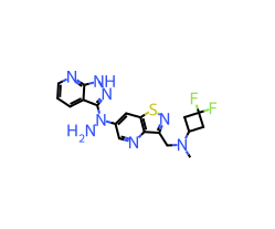 CN(Cc1nsc2cc(N(N)c3n[nH]c4ncccc34)cnc12)C1CC(F)(F)C1